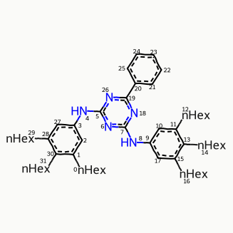 CCCCCCc1cc(Nc2nc(Nc3cc(CCCCCC)c(CCCCCC)c(CCCCCC)c3)nc(-c3cc[c]cc3)n2)cc(CCCCCC)c1CCCCCC